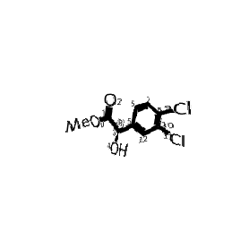 COC(=O)[C@H](O)c1ccc(Cl)c(Cl)c1